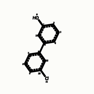 Oc1cccc(-c2cccc(Cl)c2)c1